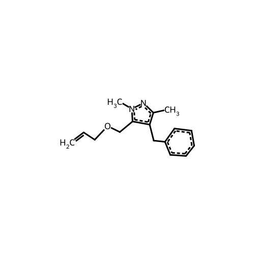 C=CCOCc1c(Cc2ccccc2)c(C)nn1C